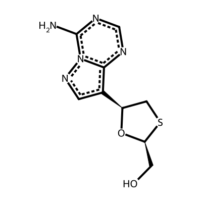 Nc1ncnc2c([C@H]3CS[C@@H](CO)O3)cnn12